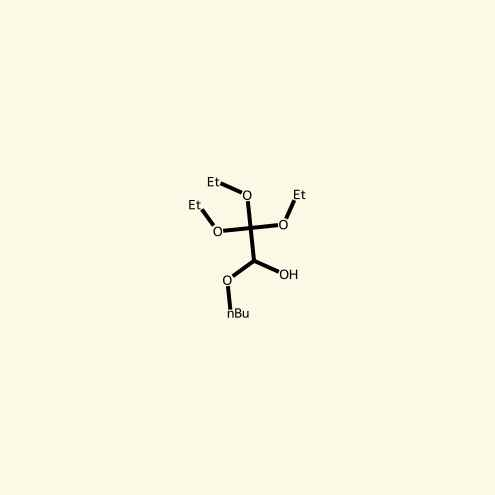 CCCCOC(O)C(OCC)(OCC)OCC